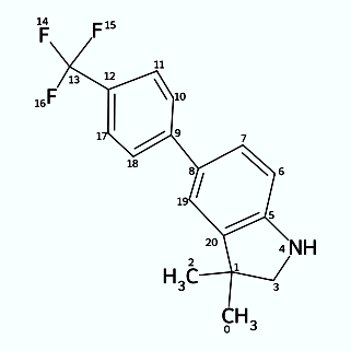 CC1(C)CNc2ccc(-c3ccc(C(F)(F)F)cc3)cc21